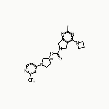 Cc1nc2c(c(N3CCC3)n1)CN(C(=O)O[C@H]1CCN(c3ccnc(C(F)(F)F)c3)C1)C2